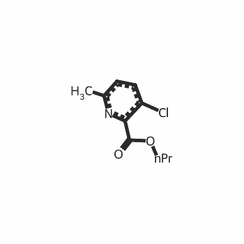 CCCOC(=O)c1nc(C)ccc1Cl